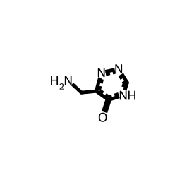 NCc1nnc[nH]c1=O